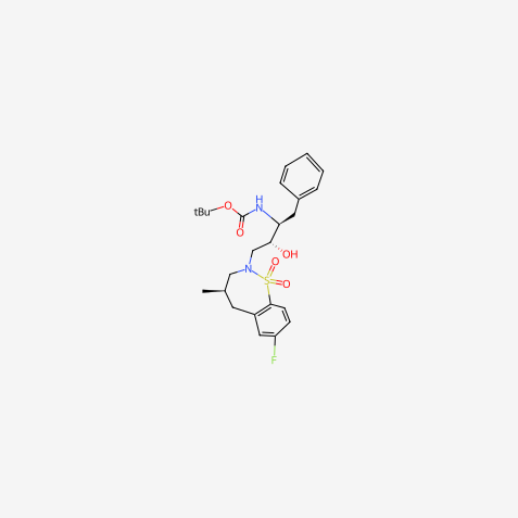 C[C@@H]1Cc2cc(F)ccc2S(=O)(=O)N(C[C@@H](O)[C@H](Cc2ccccc2)NC(=O)OC(C)(C)C)C1